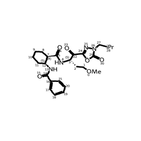 COCC[C@H](NC(=O)[C@@H]1CCCC[C@@H]1NC(=O)c1ccccc1)C(=O)c1nn(CC(C)C)c(=O)o1